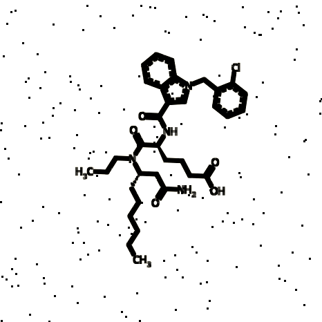 CCCCCC[C@@H](CC(N)=O)N(CCC)C(=O)[C@H](CCCC(=O)O)NC(=O)c1cn(Cc2ccccc2Cl)c2ccccc12